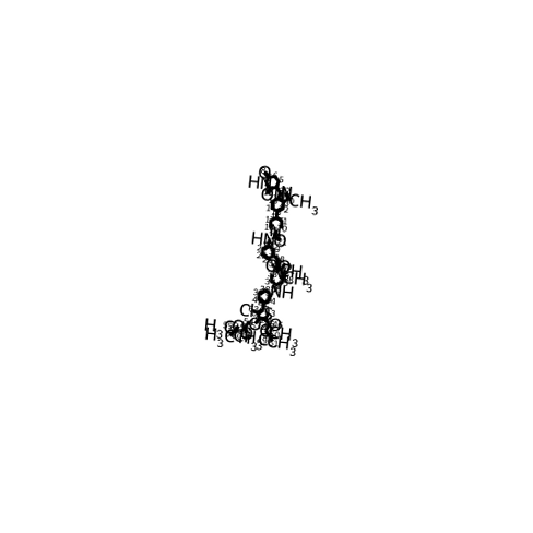 Cc1nn(C2CCC(=O)NC2=O)c2ccc(C3CCN(C(=O)Nc4cccc(CS(=O)(=O)N5CC[C@H](Nc6cccc(-c7sc(C(=O)OC(C)(C)C)c(OCC(=O)OC(C)(C)C)c7Cl)c6)CC5(C)C)c4)CC3)cc12